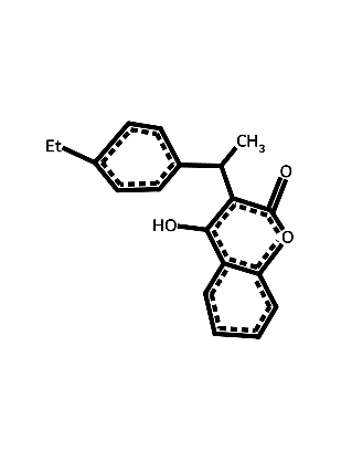 CCc1ccc(C(C)c2c(O)c3ccccc3oc2=O)cc1